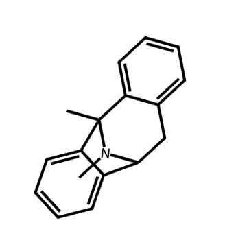 CN1C2Cc3ccccc3C1(C)c1ccccc12